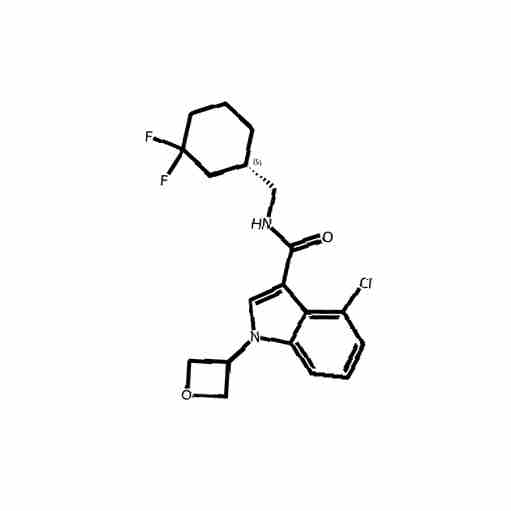 O=C(NC[C@H]1CCCC(F)(F)C1)c1cn(C2COC2)c2cccc(Cl)c12